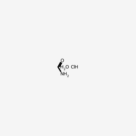 Cl.NC=O.O